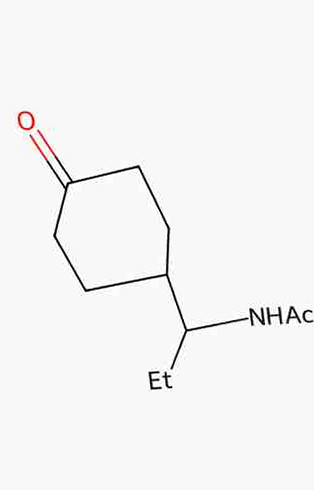 CCC(NC(C)=O)C1CCC(=O)CC1